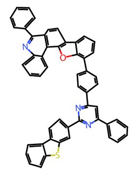 c1ccc(-c2cc(-c3ccc(-c4cccc5c4oc4c5ccc5c(-c6ccccc6)nc6ccccc6c54)cc3)nc(-c3ccc4c(c3)sc3ccccc34)n2)cc1